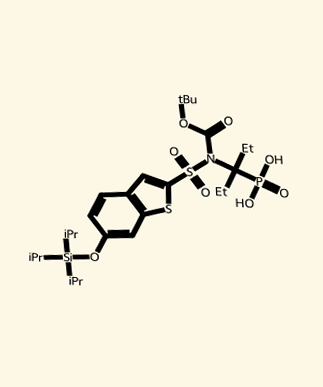 CCC(CC)(N(C(=O)OC(C)(C)C)S(=O)(=O)c1cc2ccc(O[Si](C(C)C)(C(C)C)C(C)C)cc2s1)P(=O)(O)O